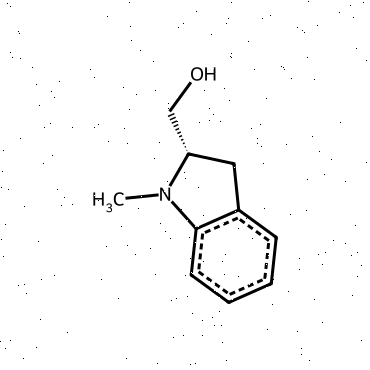 CN1c2ccccc2C[C@H]1CO